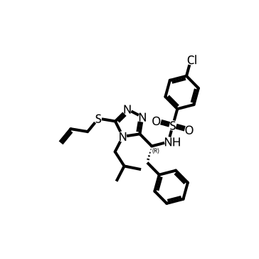 C=CCSc1nnc([C@@H](Cc2ccccc2)NS(=O)(=O)c2ccc(Cl)cc2)n1CC(C)C